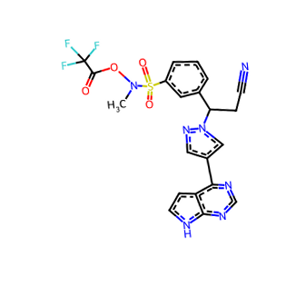 CN(OC(=O)C(F)(F)F)S(=O)(=O)c1cccc(C(CC#N)n2cc(-c3ncnc4[nH]ccc34)cn2)c1